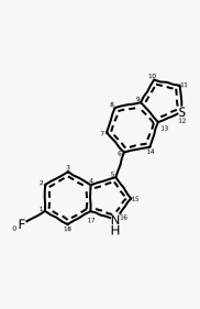 Fc1ccc2c(-c3ccc4ccsc4c3)c[nH]c2c1